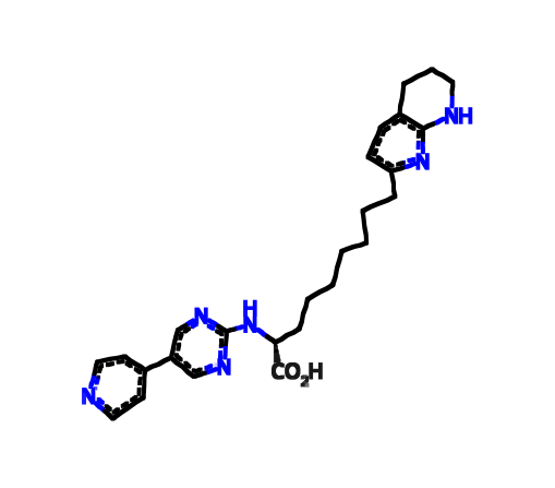 O=C(O)[C@H](CCCCCCCc1ccc2c(n1)NCCC2)Nc1ncc(-c2ccncc2)cn1